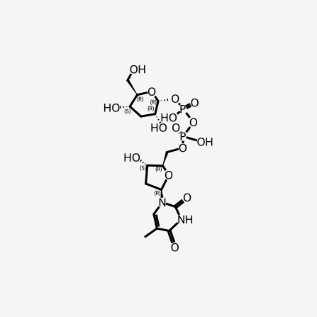 Cc1cn([C@H]2C[C@H](O)[C@@H](COP(=O)(O)OP(=O)(O)O[C@H]3O[C@H](CO)[C@@H](O)C[C@H]3O)O2)c(=O)[nH]c1=O